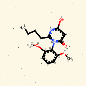 CCCCc1nc(O)cc(=O)n1-c1c(OC)cccc1OC